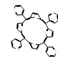 C1=Cc2nc1c(-c1cccnc1)c1ccc([nH]1)c(-c1cccnc1)c1nc(c(-c3cccnc3)c3ccc([nH]3)c2-c2cccnc2)C=C1.[Co]